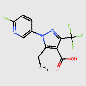 CCc1c(C(=O)O)c(C(F)(F)F)nn1-c1ccc(F)nc1